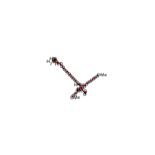 COCCOCCOCCOCCNC(=O)CCOCC(COCCC(=O)NCCOCCOCCOCCOCCOCCOCCOCCOC)(COCCC(=O)NCCOCCOCCOCCOCCOCCOCCOCCOCCOCCOCCOCCOCCC(=O)NCc1ccc(COc2nc(N)nc3[nH]cnc23)cc1)NC(=O)CCCCCN1C(=O)C=CC1=O